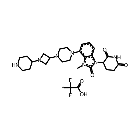 Cn1c(=O)n(C2CCC(=O)NC2=O)c2cccc(N3CCN(C4CN(C5CCNCC5)C4)CC3)c21.O=C(O)C(F)(F)F